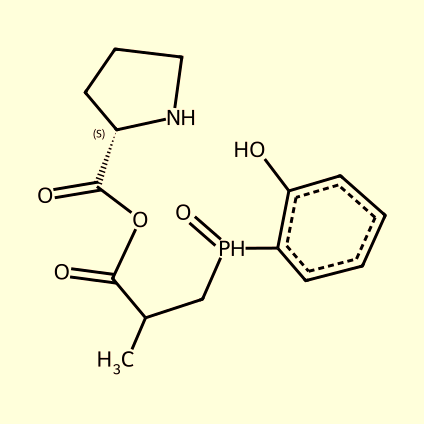 CC(C[PH](=O)c1ccccc1O)C(=O)OC(=O)[C@@H]1CCCN1